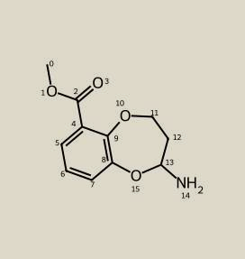 COC(=O)c1cccc2c1OCCC(N)O2